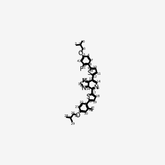 CC(C)COc1ccc(-c2ccc(-c3cnc(-c4ccc(-c5ccc(OCC(C)C)cc5F)s4)c4nsnc34)s2)c(F)c1